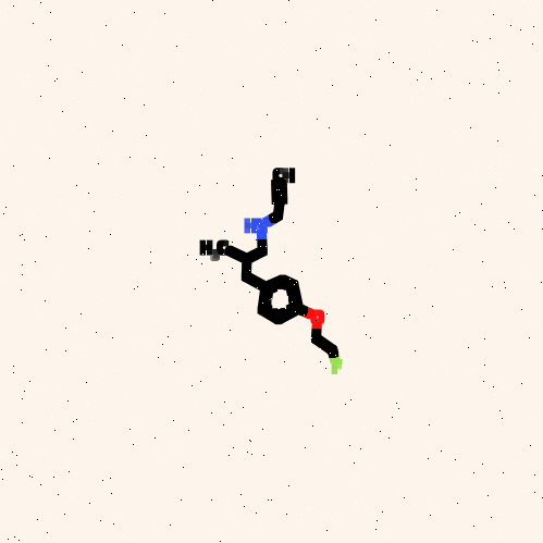 C#CCNCC(C)Cc1ccc(OCCF)cc1